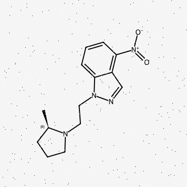 C[C@@H]1CCCN1CCn1ncc2c([N+](=O)[O-])cccc21